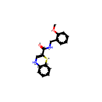 COc1ccccc1CNC(=O)C1=CNc2ccccc2S1